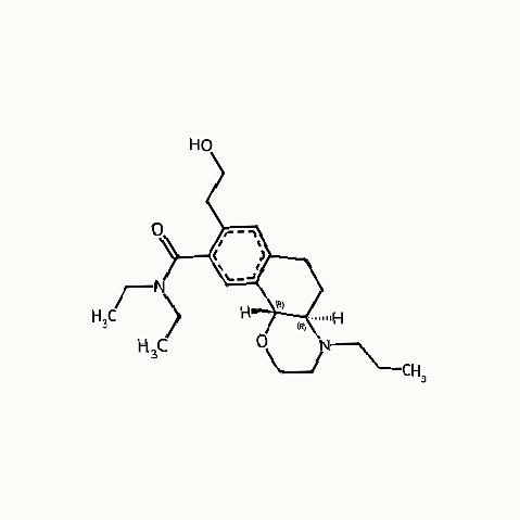 CCCN1CCO[C@@H]2c3cc(C(=O)N(CC)CC)c(CCO)cc3CC[C@H]21